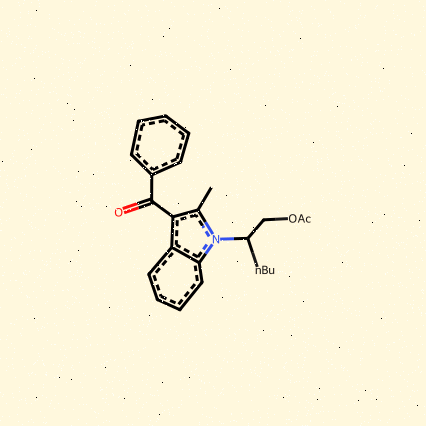 CCCCC(COC(C)=O)n1c(C)c(C(=O)c2ccccc2)c2ccccc21